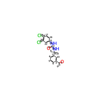 CC(=O)c1cccc(C(C)(C)NC(=O)Nc2ccc(Cl)c(Cl)c2)c1